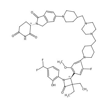 CCC1(CC)C(=O)N(c2ccc(C(F)F)cc2O)[C@H]1c1cc(F)c(N2CCC(CN3CCN(CC4CCN(c5ccc6c(c5)CN([C@H]5CCC(=O)NC5=O)C6=O)CC4)CC3)CC2)cc1OC